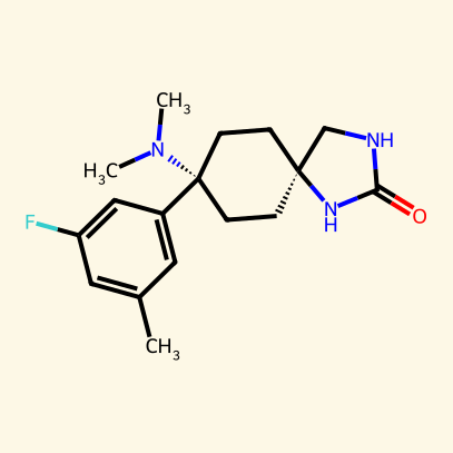 Cc1cc(F)cc([C@]2(N(C)C)CC[C@]3(CC2)CNC(=O)N3)c1